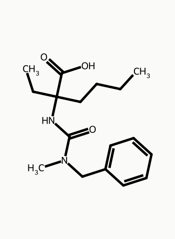 CCCCC(CC)(NC(=O)N(C)Cc1ccccc1)C(=O)O